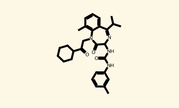 Cc1cccc(NC(=O)NC2N=C(C(C)C)c3cccc(C)c3N(CC(=O)C3CCCCC3)C2=O)c1